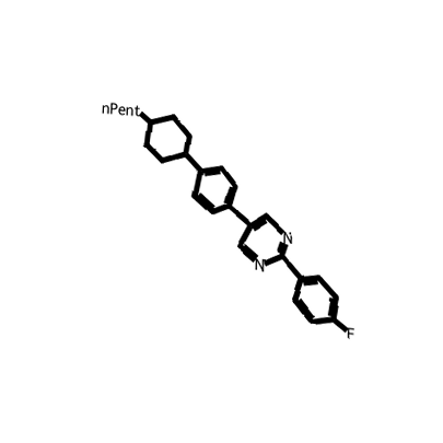 CCCCCC1CCC(c2ccc(-c3cnc(-c4ccc(F)cc4)nc3)cc2)CC1